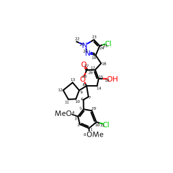 COc1cc(OC)c(CCC2(C3CCCC3)CC(O)=C(Cc3nn(C)cc3Cl)C(=O)O2)cc1Cl